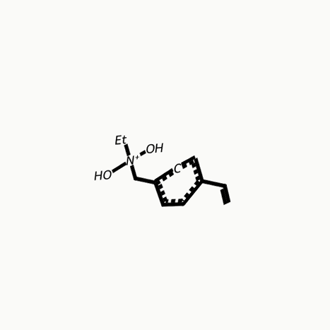 C=Cc1ccc(C[N+](O)(O)CC)cc1